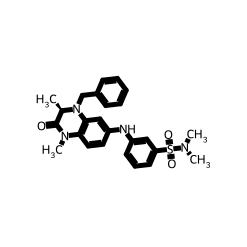 C[C@@H]1C(=O)N(C)c2ccc(Nc3cccc(S(=O)(=O)N(C)C)c3)cc2N1Cc1ccccc1